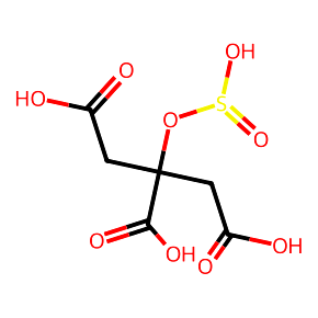 O=C(O)CC(CC(=O)O)(OS(=O)O)C(=O)O